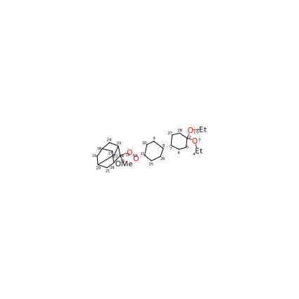 CCOC1(OCC)CCC([C@H]2CC[C@@H](OOC3(OC)C4CC5CC(C4)CC3C5)CC2)CC1